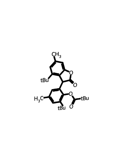 Cc1cc(C2C(=O)Oc3cc(C)cc(C(C)(C)C)c32)c(OC(=O)C(C)(C)C)c(C(C)(C)C)c1